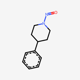 O=NN1CCC(c2ccccc2)CC1